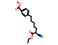 CCOC(=O)C(C#N)CCCCCc1ccc(C(=O)OC)cc1